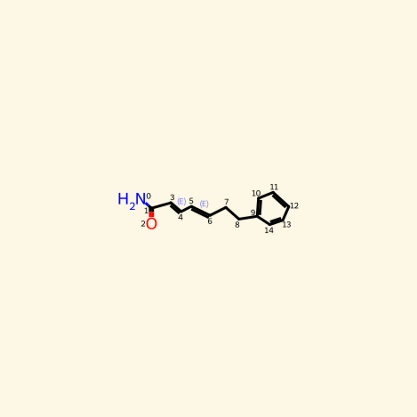 NC(=O)/C=C/C=C/CCc1ccccc1